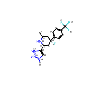 C[C@H]1C[C@@](F)(c2ccc(C(F)(F)F)cc2)C[C@@H](C2=CN(C)NN2)N1